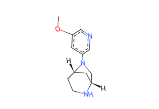 COc1cncc(N2C[C@H]3C[C@@H]2CCN3)c1